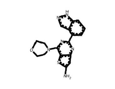 Nc1cc2nc(-c3cccc4[nH]ncc34)nc(N3CCOCC3)c2s1